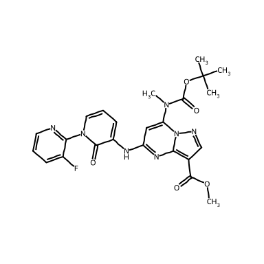 COC(=O)c1cnn2c(N(C)C(=O)OC(C)(C)C)cc(Nc3cccn(-c4ncccc4F)c3=O)nc12